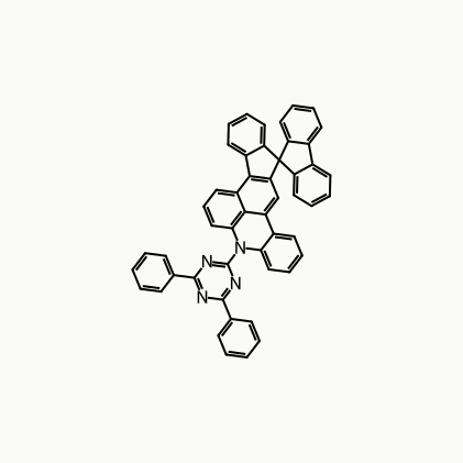 c1ccc(-c2nc(-c3ccccc3)nc(N3c4ccccc4-c4cc5c(c6cccc3c46)-c3ccccc3C53c4ccccc4-c4ccccc43)n2)cc1